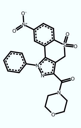 O=C(c1nn(-c2ccccc2)c2c1CS(=O)(=O)c1ccc([N+](=O)[O-])cc1-2)N1CCOCC1